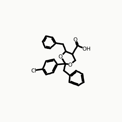 O=C(O)C1COC(Cc2ccccc2)(c2ccc(Cl)cc2)OC1Cc1ccccc1